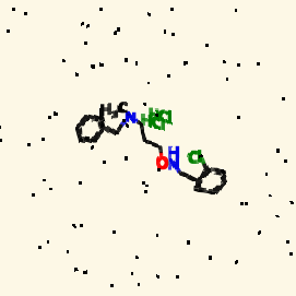 CN(CCCONCc1ccccc1Cl)Cc1ccccc1.Cl.Cl